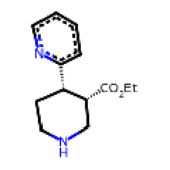 CCOC(=O)[C@@H]1CNCC[C@@H]1c1ccccn1